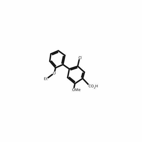 CCOc1ccccc1-c1cc(OC)c(C(=O)O)cc1Cl